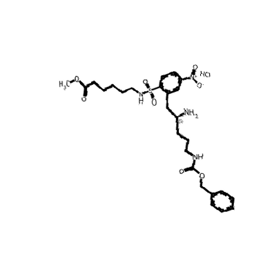 COC(=O)CCCCCNS(=O)(=O)c1ccc([N+](=O)[O-])cc1C[C@@H](N)CCCNC(=O)OCc1ccccc1.Cl